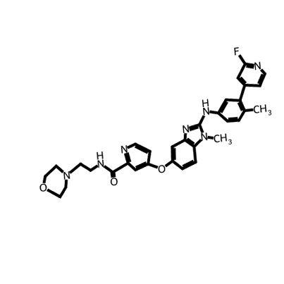 Cc1ccc(Nc2nc3cc(Oc4ccnc(C(=O)NCCN5CCOCC5)c4)ccc3n2C)cc1-c1ccnc(F)c1